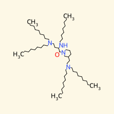 CCCCCCCCCNC(CCN(CCCCCCCCC)CCCCCCCCC)C(=O)N1CCCC(CCN(CCCCCCCCC)CCCCCCCCC)C1